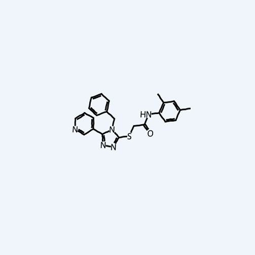 Cc1ccc(NC(=O)CSc2nnc(-c3cccnc3)n2Cc2ccccc2)c(C)c1